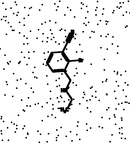 CCNCc1cccc(C#N)c1Br